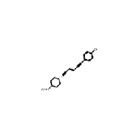 CCCCCC[C@H]1CC[C@H](C#C/C=C/C#Cc2ccc(CC)cc2)CC1